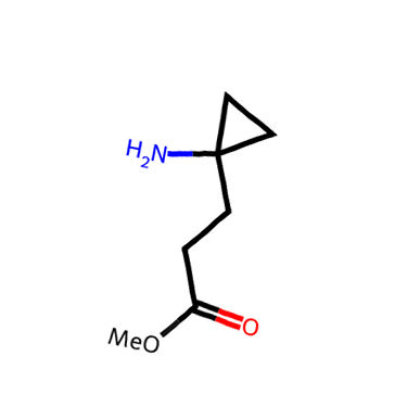 COC(=O)CCC1(N)CC1